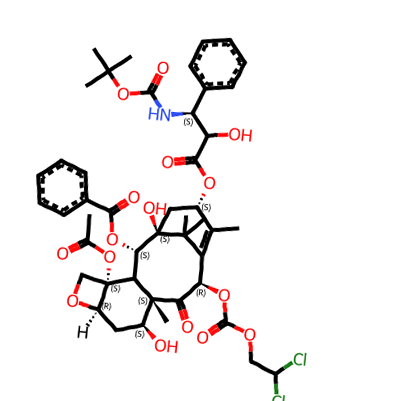 CC(=O)O[C@@]12CO[C@@H]1C[C@H](O)[C@@]1(C)C(=O)[C@H](OC(=O)OCC(Cl)Cl)C3=C(C)[C@@H](OC(=O)C(O)[C@@H](NC(=O)OC(C)(C)C)c4ccccc4)C[C@@](O)([C@@H](OC(=O)c4ccccc4)C12)C3(C)C